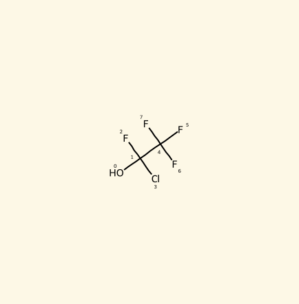 OC(F)(Cl)C(F)(F)F